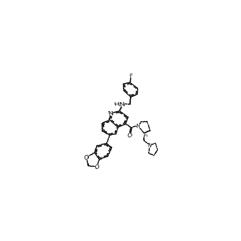 O=C(c1cc(NCc2ccc(F)cc2)nc2ccc(-c3ccc4c(c3)OCO4)cc12)N1CCC[C@H]1CN1CCCC1